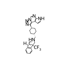 CC(CNC[C@H]1CC[C@H](c2nnn3cnc4[nH]ccc4c23)CC1)(c1ccccc1)C(F)(F)F